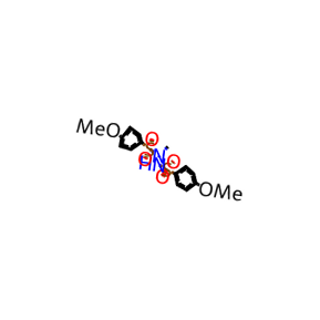 COc1ccc(S(=O)(=O)NN(C)S(=O)(=O)c2ccc(OC)cc2)cc1